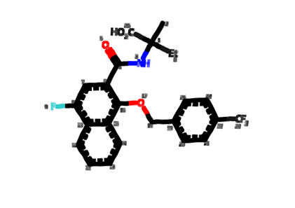 CCC(C)(NC(=O)c1cc(F)c2ccccc2c1OCc1ccc(C(F)(F)F)cc1)C(=O)O